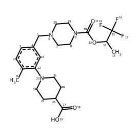 Cc1ccc(CN2CCN(C(=O)OC(C)C(F)(F)F)CC2)cc1N1CCC(C(=O)O)CC1